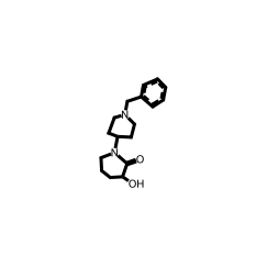 O=C1C(O)CCCN1C1CCN(Cc2ccccc2)CC1